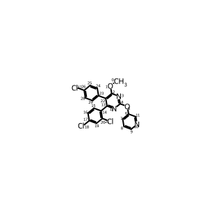 COc1nc(Oc2cccnc2)nc(-c2ccc(Cl)cc2Cl)c1-c1ccc(Cl)cc1